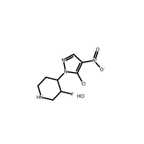 Cl.O=[N+]([O-])c1cnn(C2CCNCC2F)c1Cl